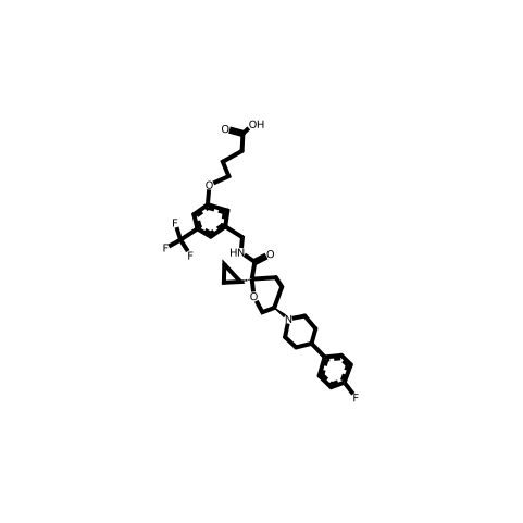 O=C(O)CCCOc1cc(CNC(=O)[C@@]2(C3CC3)CC[C@@H](N3CCC(c4ccc(F)cc4)CC3)CO2)cc(C(F)(F)F)c1